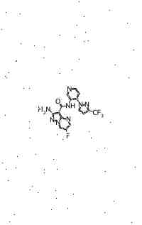 Nc1nn2cc(F)cnc2c1C(=O)Nc1cnccc1-n1ccc(C(F)(F)F)n1